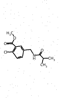 COC(=O)c1cc(CNC(=O)C(C)C)ccc1Cl